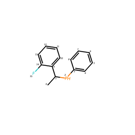 CC(Pc1ccccc1)c1ccccc1F